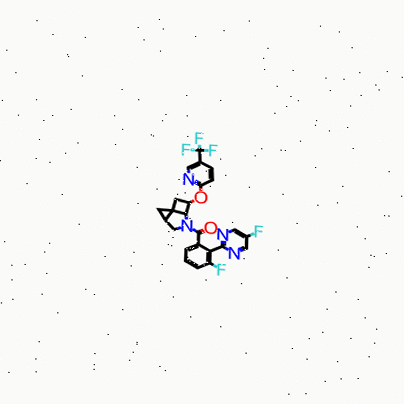 O=C(c1cccc(F)c1-c1ncc(F)cn1)N1CC2CC23CC(Oc2ccc(C(F)(F)F)cn2)C13